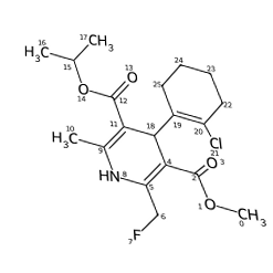 COC(=O)C1=C(CF)NC(C)=C(C(=O)OC(C)C)C1C1=C(Cl)CCCC1